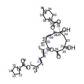 C/C(=C\C=C\[C@@H](C)COC(=O)N1CCCC1)[C@H]1OC(=O)C[C@H](O)CC[C@](C)(O)[C@@H](OC(=O)N2CCN(C)CC2)/C=C/[C@@H]1C